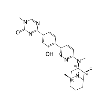 CN(c1ccc(-c2ccc(-c3ncn(C)c(=O)n3)cc2O)nn1)[C@@H]1C[C@@]2(C)CCCC([C@@H]1F)N2C